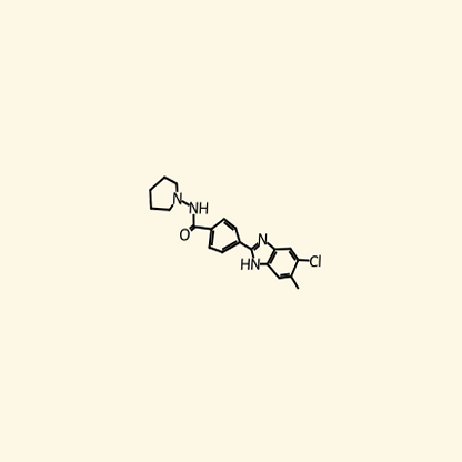 Cc1cc2[nH]c(-c3ccc(C(=O)NN4CCCCC4)cc3)nc2cc1Cl